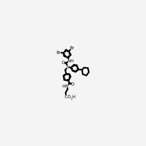 O=C(O)CCNC(=O)c1ccc(CN(C(=O)Nc2cc(Br)cc(Br)c2)c2ccc(C3CCCCC3)cc2)cc1